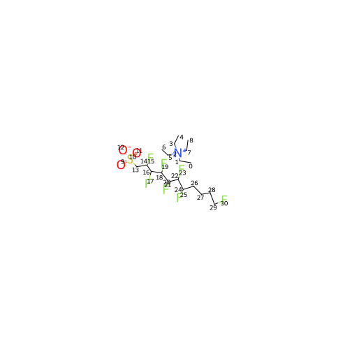 CC[N+](CC)(CC)CC.O=S(=O)([O-])CC(F)C(F)C(F)C(F)C(F)C(F)CCCCF